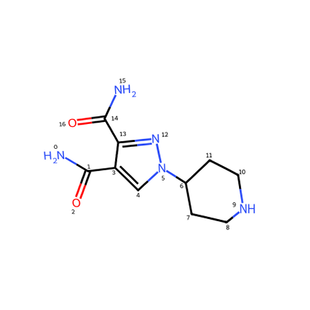 NC(=O)c1cn(C2CCNCC2)nc1C(N)=O